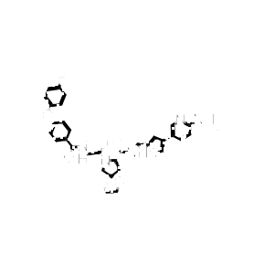 Nc1ccc(-c2csc(CNC(=O)[C@@H]3CC4(CN3C(=O)CNC(=O)c3ccc(Oc5ccc(F)cc5)cc3)OCCO4)c2)cn1